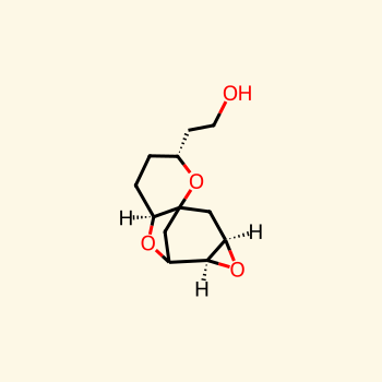 OCC[C@H]1CC[C@@H]2OC3CC2(C[C@H]2O[C@@H]32)O1